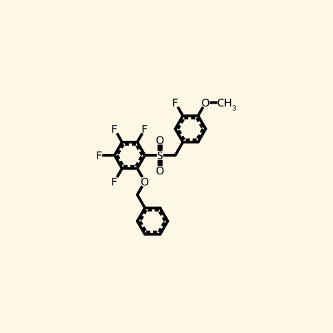 COc1ccc(CS(=O)(=O)c2c(F)c(F)c(F)c(F)c2OCc2ccccc2)cc1F